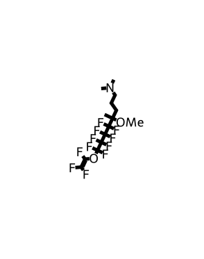 COC(C)(CCCN(C)C)C(F)(F)C(F)(F)C(F)(F)C(F)(F)OC(F)=C(F)F